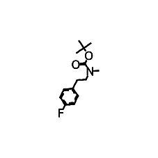 CN(CCc1ccc(F)cc1)C(=O)OC(C)(C)C